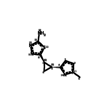 Cn1ccc([C@@H]2C[C@H]2c2nnc(N)s2)n1